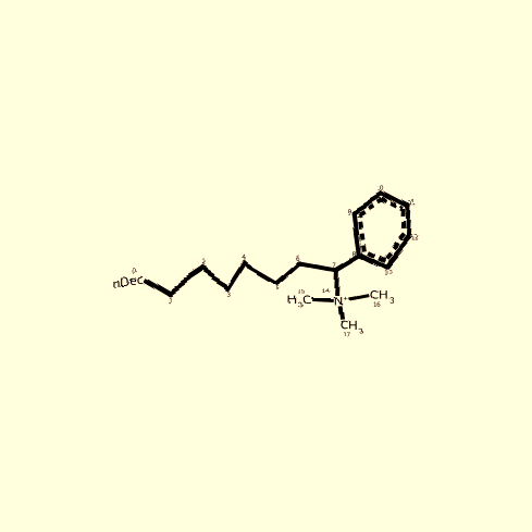 CCCCCCCCCCCCCCCCC(c1ccccc1)[N+](C)(C)C